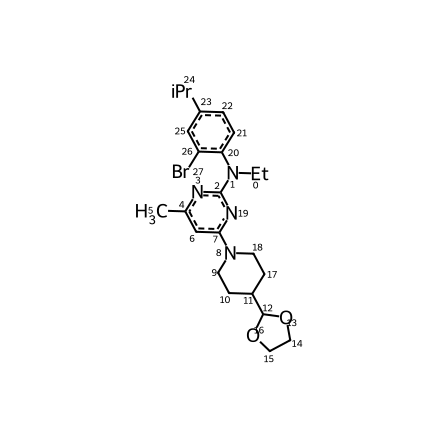 CCN(c1nc(C)cc(N2CCC(C3OCCO3)CC2)n1)c1ccc(C(C)C)cc1Br